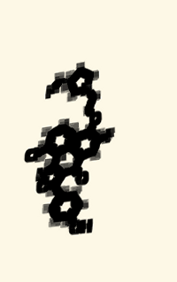 O=C(c1ccc(OCCN2CC[C@@H](CF)C2)c(F)c1)c1c(-c2ccccc2Cl)noc1-c1ccc(O)cc1